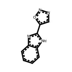 [c]1nnoc1-c1nc2ccccc2[nH]1